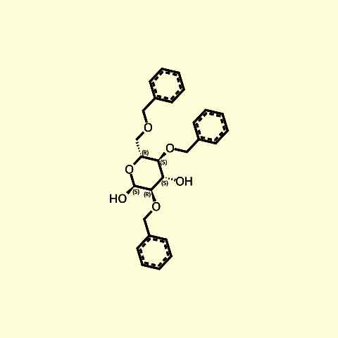 O[C@@H]1[C@@H](OCc2ccccc2)[C@@H](O)O[C@H](COCc2ccccc2)[C@H]1OCc1ccccc1